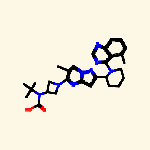 Cc1cn2nc(C3CCCCN3c3ncnc4cccc(C)c34)cc2nc1N1CC(N(C(=O)O)C(C)(C)C)C1